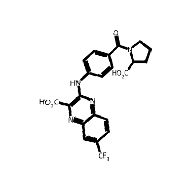 O=C(O)c1nc2cc(C(F)(F)F)ccc2nc1Nc1ccc(C(=O)N2CCCC2C(=O)O)cc1